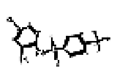 Bc1cc(Cl)ccc1NS(=O)(=O)c1ccc(C(C)(C)C)cc1